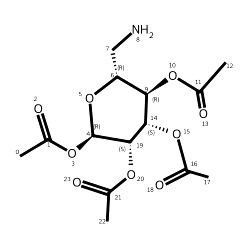 CC(=O)O[C@H]1O[C@H](CN)[C@@H](OC(C)=O)[C@H](OC(C)=O)[C@@H]1OC(C)=O